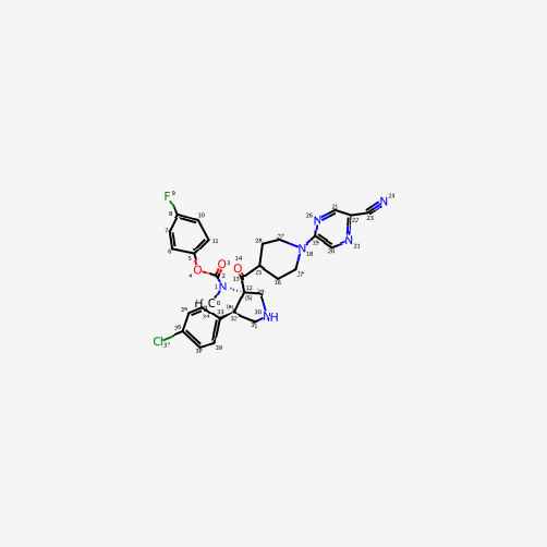 CN(C(=O)Oc1ccc(F)cc1)[C@]1(C(=O)C2CCN(c3cnc(C#N)cn3)CC2)CNC[C@H]1c1ccc(Cl)cc1